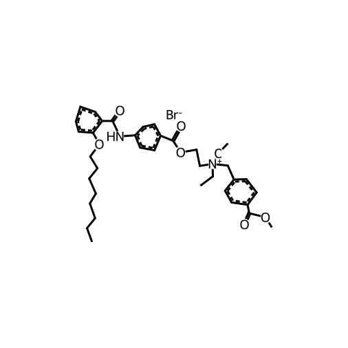 CCCCCCCCOc1ccccc1C(=O)Nc1ccc(C(=O)OCC[N+](CC)(CC)Cc2ccc(C(=O)OC)cc2)cc1.[Br-]